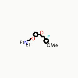 CCN(CC)CCCOc1cccc(C(=O)C=Cc2ccc(OC)cc2F)c1